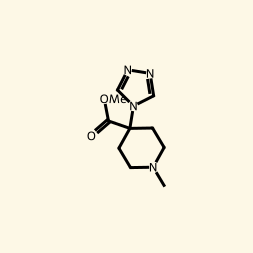 COC(=O)C1(n2cnnc2)CCN(C)CC1